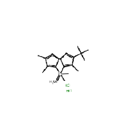 CC1=CC(C)[C]([Zr]([CH3])([CH3])(=[GeH2])[C]2=C(C)C(C(C)(C)C)=CC2C)=C1C.Cl.Cl